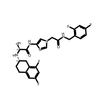 CCC[C@H](N[C@H]1CCc2cc(F)cc(F)c2C1)C(=O)Nc1cn(CC(=O)NCc2ccc(F)cc2F)cn1